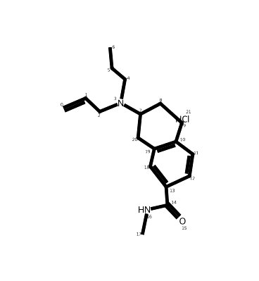 C=CCN(CCC)C1CCc2ccc(C(=O)NC)cc2C1.Cl